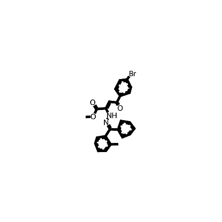 COC(=O)/C(=C/C(=O)c1ccc(Br)cc1)N/N=C(\c1ccccc1)c1ccccc1C